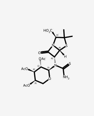 CC(=O)O[C@H]1[C@H](OC(C)=O)[C@@H](N(C(N)=S)[C@@H]2C(=O)N3[C@@H]2SC(C)(C)[C@@H]3C(=O)O)OC[C@H]1OC(C)=O